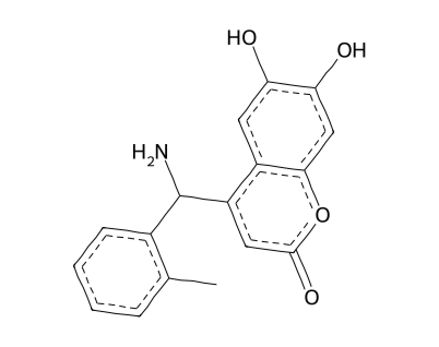 Cc1ccccc1C(N)c1cc(=O)oc2cc(O)c(O)cc12